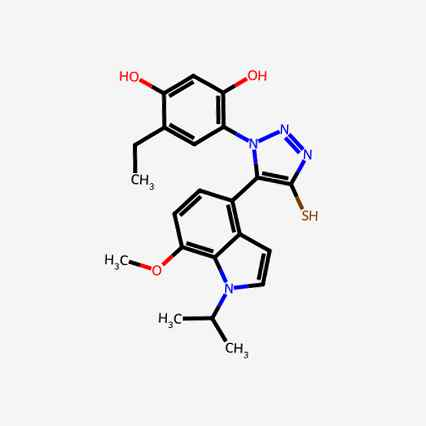 CCc1cc(-n2nnc(S)c2-c2ccc(OC)c3c2ccn3C(C)C)c(O)cc1O